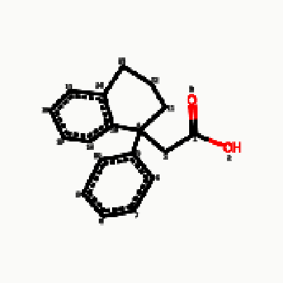 O=C(O)CC1(c2ccccc2)CCCc2ccccc21